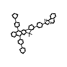 CC1(C)c2cc(-c3ccc(-c4cn5ccc6ccccc6c5n4)cc3)ccc2-c2cc3c(-c4ccc(-c5ccccc5)cc4)c4ccccc4c(-c4ccc(-c5ccccc5)cc4)c3cc21